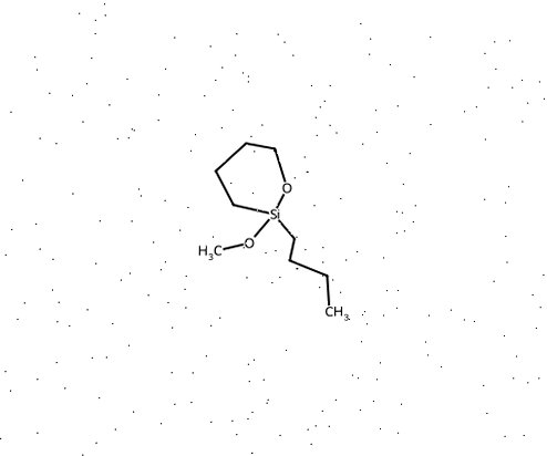 CCCC[Si]1(OC)CCCCO1